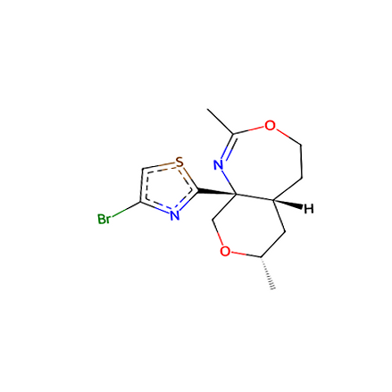 CC1=N[C@@]2(c3nc(Br)cs3)CO[C@@H](C)C[C@H]2CCO1